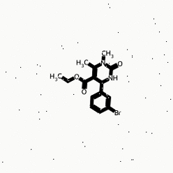 CCOC(=O)C1=C(C)N(C)C(=O)NC1c1cccc(Br)c1